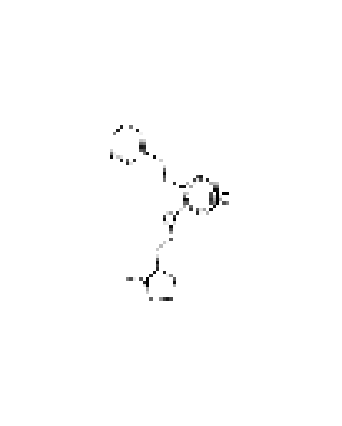 CN1CCCC1CCOc1ccccc1CCC1=CCCC=C1.Cl